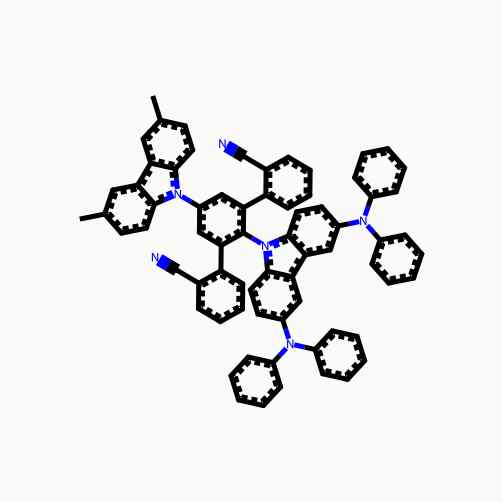 Cc1ccc2c(c1)c1cc(C)ccc1n2-c1cc(-c2ccccc2C#N)c(-n2c3ccc(N(c4ccccc4)c4ccccc4)cc3c3cc(N(c4ccccc4)c4ccccc4)ccc32)c(-c2ccccc2C#N)c1